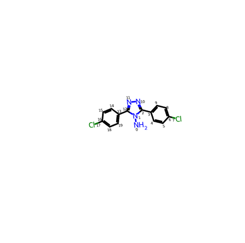 Nn1c(-c2ccc(Cl)cc2)nnc1-c1ccc(Cl)cc1